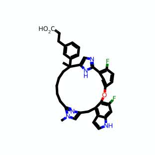 Cn1cc2nc1CCCCCC(C)(c1cccc(CCC(=O)O)c1)c1cnc([nH]1)-c1cc(ccc1F)Oc1c(F)cc3[nH]ccc3c1C2